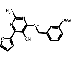 COc1cccc(CNc2nc(N)nc(-c3ccco3)c2C#N)c1